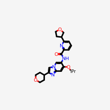 CC(C)Oc1cc2nc(C3CCOCC3)cn2cc1NC(=O)c1cccc(C2CCOC2)n1